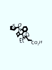 CCN(C(=O)CCC(=O)O)C1c2ccccc2N(C(=O)c2cccs2)C2CCC12